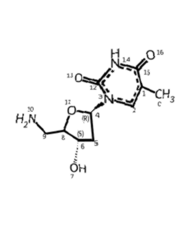 Cc1cn([C@H]2C[C@H](O)C(CN)O2)c(=O)[nH]c1=O